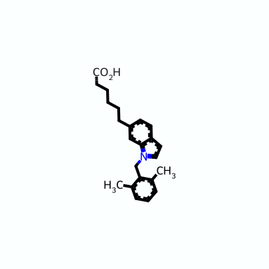 Cc1cccc(C)c1Cn1ccc2ccc(CCCCCC(=O)O)cc21